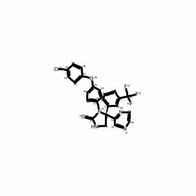 O=C1NC[C@@](c2cccc(C(F)(F)F)c2)(c2cnccn2)N1c1ccc(Oc2ccc(Cl)cc2)cc1